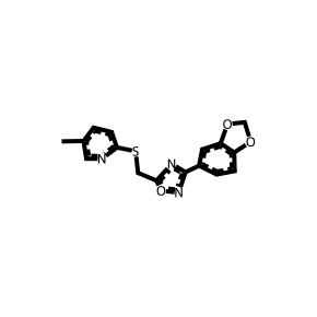 Cc1ccc(SCc2nc(-c3ccc4c(c3)OCO4)no2)nc1